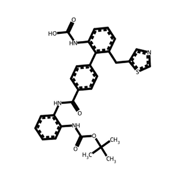 CC(C)(C)OC(=O)Nc1ccccc1NC(=O)c1ccc(-c2c(Cc3cncs3)cccc2NC(=O)O)cc1